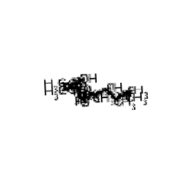 CCCC1(CCC)O[C@@H]2[C@H](O1)[C@@H](CO)O[C@H]2n1cc(F)c(=O)n(C/C=C(\C)CCC[C@H](C)CCC[C@H](C)CCCC(C)C)c1=O